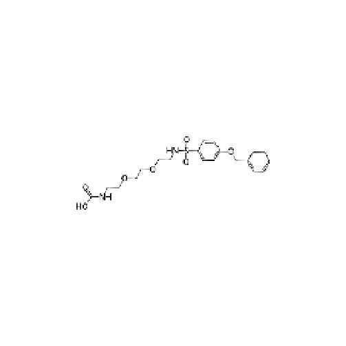 O=C(O)NCCOCCOCCNS(=O)(=O)c1ccc(OCc2ccccc2)cc1